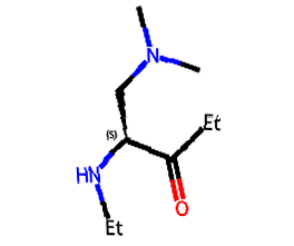 CCN[C@@H](CN(C)C)C(=O)CC